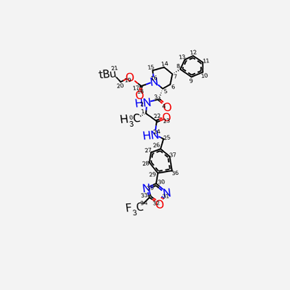 C[C@H](NC(=O)[C@H]1C[C@@H](c2ccccc2)CCN1C(=O)OCC(C)(C)C)C(=O)NCc1ccc(-c2noc(C(F)(F)F)n2)cc1